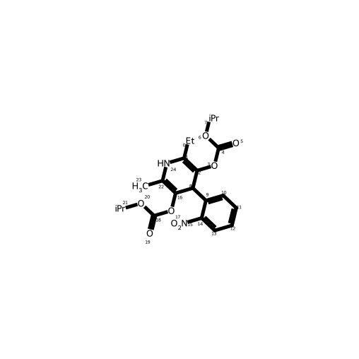 CCC1=C(OC(=O)OC(C)C)C(c2ccccc2[N+](=O)[O-])C(OC(=O)OC(C)C)=C(C)N1